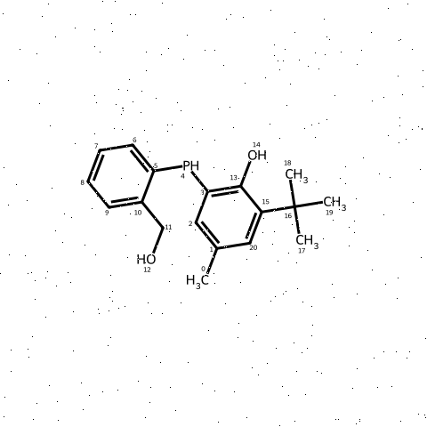 Cc1cc(Pc2ccccc2CO)c(O)c(C(C)(C)C)c1